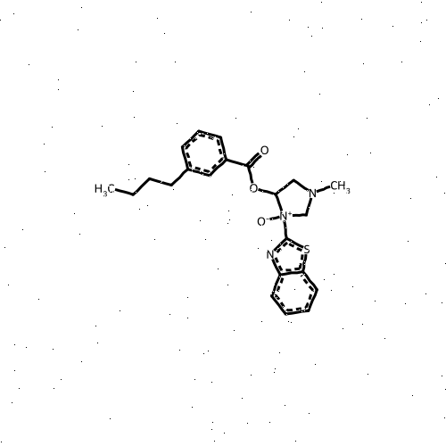 CCCCc1cccc(C(=O)OC2CN(C)C[N+]2([O-])c2nc3ccccc3s2)c1